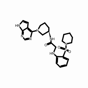 O=C(CNc1ccccc1S(=O)(=O)N1CCCCC1)N[C@@H]1CCCN(c2ncnc3[nH]ccc23)C1